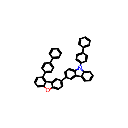 c1ccc(-c2ccc(-c3cccc4oc5ccc(-c6ccc7c(c6)c6ccccc6n7-c6ccc(-c7ccccc7)cc6)cc5c34)cc2)cc1